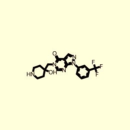 O=c1c2cnn(-c3cccc(C(F)(F)F)c3)c2ncn1CC1(O)CCNCC1